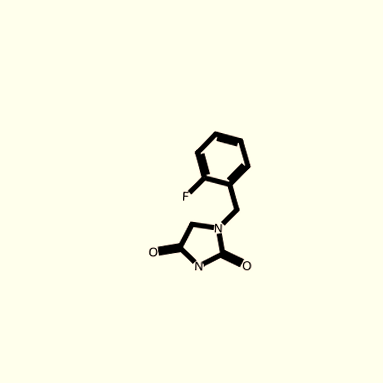 O=C1CN(Cc2ccccc2F)C(=O)[N]1